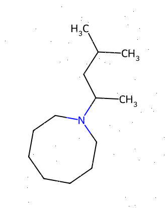 CC(C)CC(C)N1CCCCCCC1